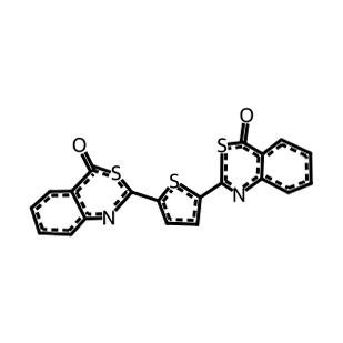 O=c1sc(-c2ccc(-c3nc4ccccc4c(=O)s3)s2)nc2ccccc12